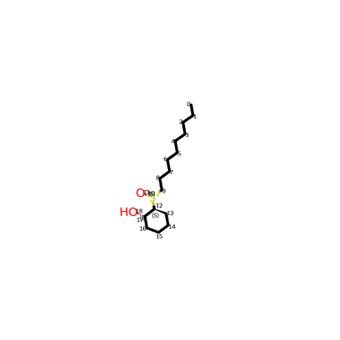 CCCCCCCCCC[S@@+]([O-])[C@H]1CCCC[C@@H]1O